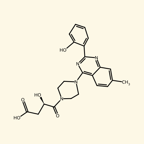 Cc1ccc2c(N3CCN(C(=O)[C@H](O)CC(=O)O)CC3)nc(-c3ccccc3O)nc2c1